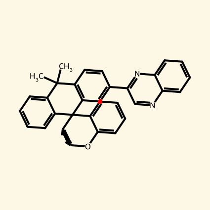 CC1(C)c2ccccc2C2(c3ccccc3Oc3ccccc32)c2cc(-c3cnc4ccccc4n3)ccc21